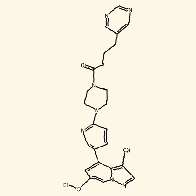 CCOc1cc(-c2ccc(N3CCN(C(=O)CCCc4cncnc4)CC3)nc2)c2c(C#N)cnn2c1